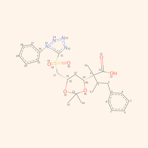 CC(Cc1ccccc1)C(C)(C(=O)O)[C@H]1C[C@@H](CS(=O)(=O)c2nnnn2-c2ccccc2)OC(C)(C)O1